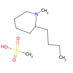 CCCCC1CCCCN1C.CS(=O)(=O)O